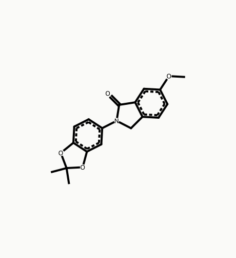 COc1ccc2c(c1)C(=O)N(c1ccc3c(c1)OC(C)(C)O3)C2